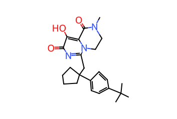 CN1CCn2c(CC3(c4ccc(C(C)(C)C)cc4)CCCC3)nc(=O)c(O)c2C1=O